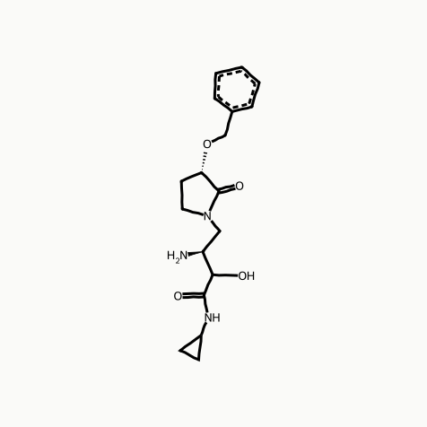 N[C@@H](CN1CC[C@H](OCc2ccccc2)C1=O)C(O)C(=O)NC1CC1